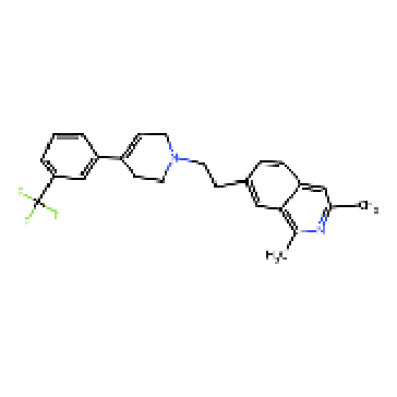 Cc1cc2ccc(CCN3CC=C(c4cccc(C(F)(F)F)c4)CC3)cc2c(C)n1